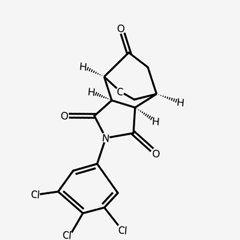 O=C1C[C@@H]2CC[C@H]1[C@@H]1C(=O)N(c3cc(Cl)c(Cl)c(Cl)c3)C(=O)[C@H]21